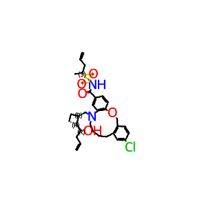 C=CC[C@@H](O)[C@@H]1CC[C@H]1CN1CCCCc2cc(Cl)ccc2COc2ccc(C(=O)NS(=O)(=O)[C@@H](C)CC=C)cc21